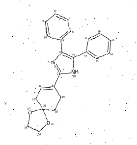 C1=C(c2nc(-c3ccccc3)c(-c3ccccc3)[nH]2)CCC2(C1)OCCO2